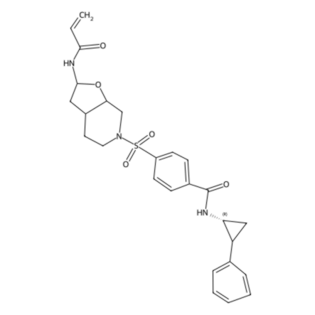 C=CC(=O)NC1CC2CCN(S(=O)(=O)c3ccc(C(=O)N[C@@H]4CC4c4ccccc4)cc3)CC2O1